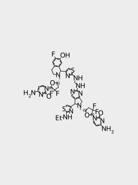 CCNc1nc(C2c3cnc(NCNc4nc(C5c6cc(O)c(F)cc6CCN5C[C@@H]5CC(F)(F)[C@H](n6ccc(N)nc6=O)O5)cs4)nc3CN2C[C@@H]2CC(F)(F)[C@H](n3ccc(N)nc3=O)O2)cs1